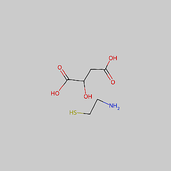 NCCS.O=C(O)CC(O)C(=O)O